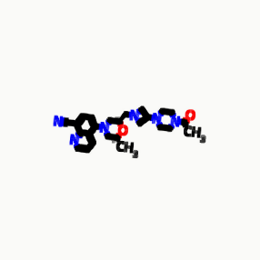 CC(=O)N1CCN(C2CN(C[C@@H]3CN(c4ccc(C#N)c5ncccc45)C[C@@H](C)O3)C2)CC1